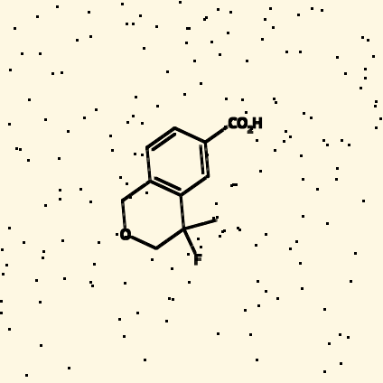 CC1(F)COCc2ccc(C(=O)O)cc21